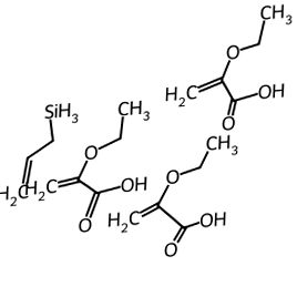 C=C(OCC)C(=O)O.C=C(OCC)C(=O)O.C=C(OCC)C(=O)O.C=CC[SiH3]